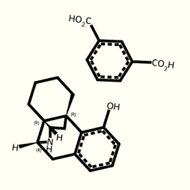 O=C(O)c1cccc(C(=O)O)c1.Oc1cccc2c1[C@@]13CCCC[C@H]1[C@@H](C2)NCC3